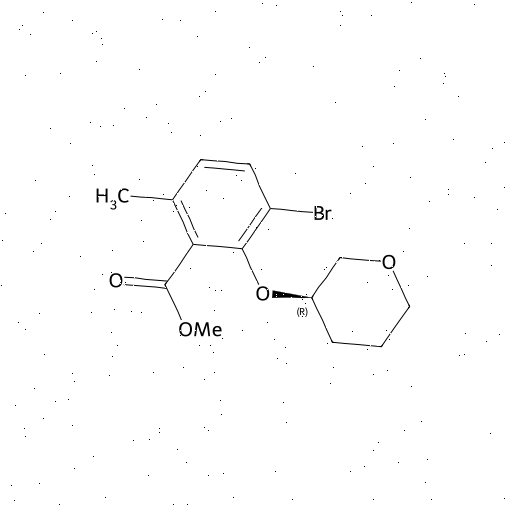 COC(=O)c1c(C)ccc(Br)c1O[C@@H]1CCCOC1